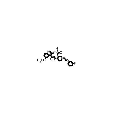 COc1ccc2ncc(F)c([C@@H](O)CC[C@@H]3CCN(CCSc4cccc(F)c4)C[C@@H]3CC(=O)O)c2c1